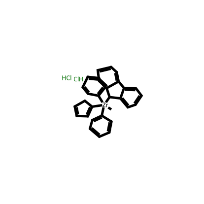 Cl.Cl.[CH3][Zr]([C]1=CC=CC1)([c]1ccccc1)([c]1ccccc1)[CH]1c2ccccc2-c2ccccc21